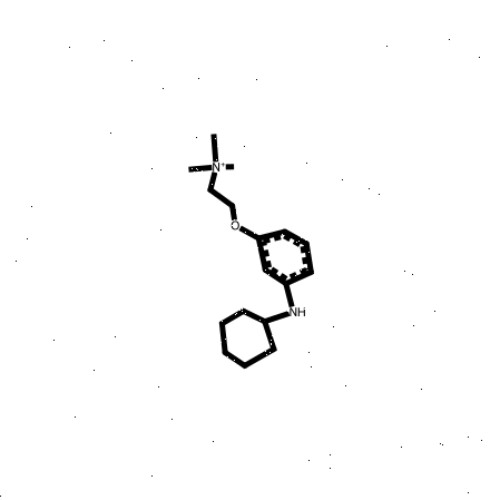 C[N+](C)(C)CCOc1cccc(NC2CCCCC2)c1